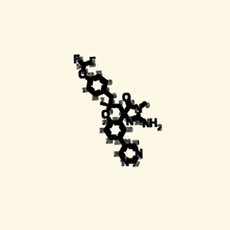 CN1C(=O)C2(C[C@@](C)(Cc3ccc(OC(F)F)cc3)Oc3ccc(-c4cncnc4)cc32)N=C1N